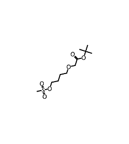 CC(C)(C)OC(=O)COCCCCOS(C)(=O)=O